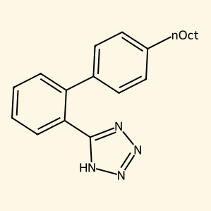 CCCCCCCCc1ccc(-c2ccccc2-c2nnn[nH]2)cc1